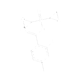 Cc1ccc(/C(=C/Cl)OP(=O)(C2CO2)C2CO2)c(Cl)c1